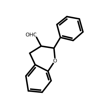 O=CC1Cc2ccccc2OC1c1ccccc1